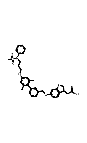 Cc1cc(OCCCN(c2ccccc2)S(C)(=O)=O)cc(C)c1-c1cccc(COc2ccc3c(c2)OCC3CC(=O)O)c1